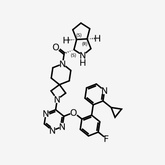 O=C([C@H]1NC[C@@H]2CCC[C@@H]21)N1CCC2(CC1)CN(c1ncnnc1Oc1ccc(F)cc1-c1cccnc1C1CC1)C2